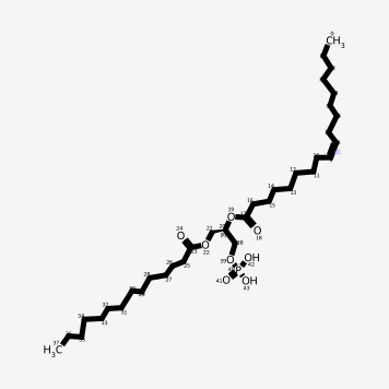 CCCCCCCC/C=C\CCCCCCCC(=O)O[C@H](COC(=O)CCCCCCCCCCCCC)COP(=O)(O)O